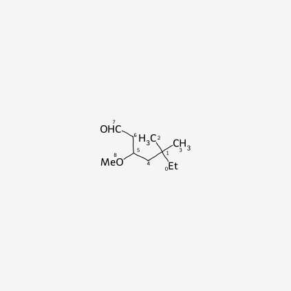 CCC(C)(C)CC(CC=O)OC